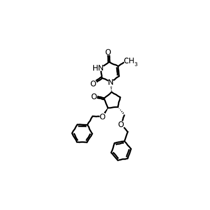 Cc1cn([C@@H]2C[C@H](COCc3ccccc3)[C@@H](OCc3ccccc3)C2=O)c(=O)[nH]c1=O